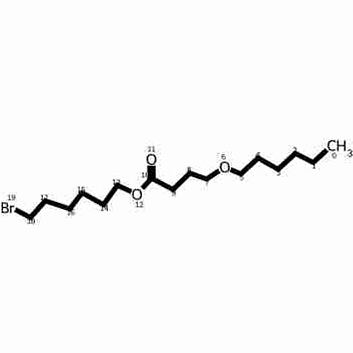 CCCCCCOCCCC(=O)OCCCCCCBr